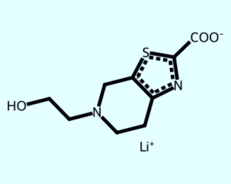 O=C([O-])c1nc2c(s1)CN(CCO)CC2.[Li+]